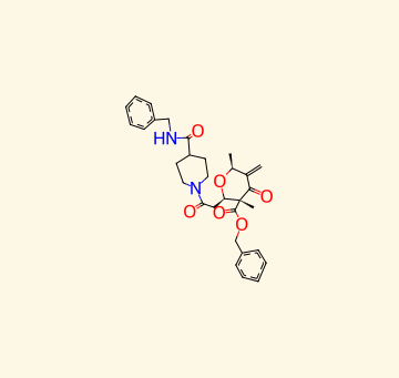 C=C1C(=O)[C@](C)(C(=O)OCc2ccccc2)[C@@H](CC(=O)N2CCC(C(=O)NCc3ccccc3)CC2)O[C@H]1C